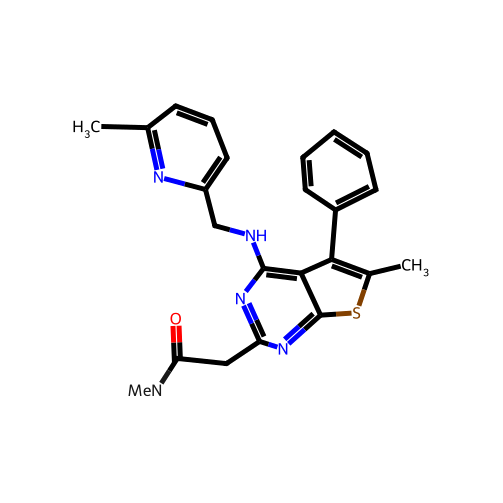 CNC(=O)Cc1nc(NCc2cccc(C)n2)c2c(-c3ccccc3)c(C)sc2n1